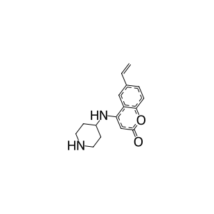 C=Cc1ccc2oc(=O)cc(NC3CCNCC3)c2c1